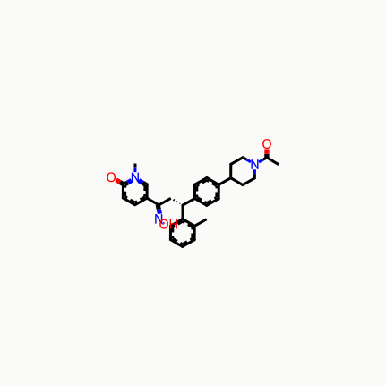 CC(=O)N1CCC(c2ccc([C@@H](C/C(=N\O)c3ccc(=O)n(C)c3)c3ccccc3C)cc2)CC1